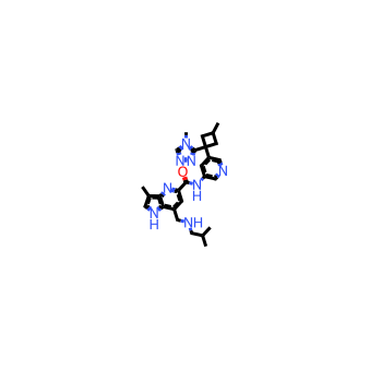 Cc1c[nH]c2c(CNCC(C)C)cc(C(=O)Nc3cncc(C4(c5nncn5C)CC(C)C4)c3)nc12